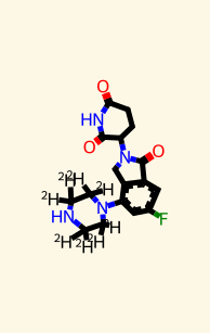 [2H]C1([2H])NC([2H])([2H])C([2H])([2H])N(c2cc(F)cc3c2CN(C2CCC(=O)NC2=O)C3=O)C1([2H])[2H]